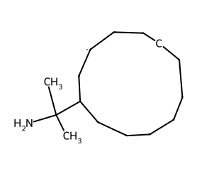 CC(C)(N)C1C[CH]CCCCCCCCC1